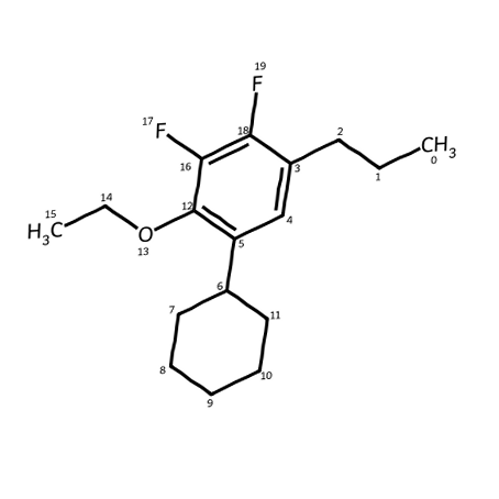 CCCc1cc(C2CCCCC2)c(OCC)c(F)c1F